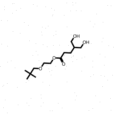 CC(C)(C)COCCOC(=O)CCC(CO)CO